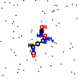 Nc1ncc(-c2ccc([C@]34C[C@H]3CN(C3CCOCC3)C4)cc2)cc1C(=O)NC12CCC(O)(CC1)CC2